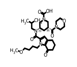 COCCCCn1c(C(=O)N(CC(C)C)[C@H]2C[C@@H](C(=O)N3CCOCC3)CN(C(=O)O)C2)cc2c1C(=O)CCC2